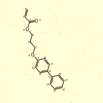 C=CC(=O)OCCCOc1ccc(-c2ccccc2)cc1